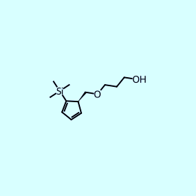 C[Si](C)(C)C1=CC=C[C@@H]1COCCCO